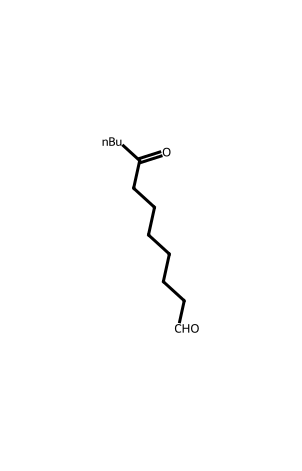 CCCCC(=O)CCCCCCC=O